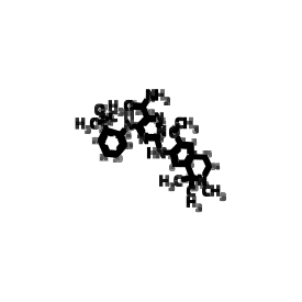 COc1cc2c(cc1Nc1nnc(C(N)=O)c(Nc3ccccc3P(C)(C)=O)n1)C(C)(C)N(C)CC2